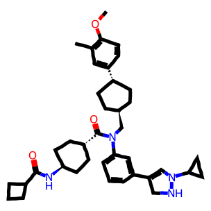 COc1ccc([C@H]2CC[C@H](CN(c3cccc(C4=CN(C5CC5)NC4)c3)C(=O)[C@H]3CC[C@H](NC(=O)C4CCC4)CC3)CC2)cc1C